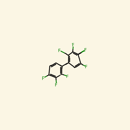 Fc1ccc(-c2cc(F)c(F)c(F)c2F)c(F)c1F